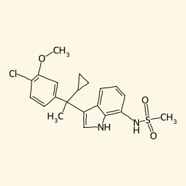 COc1cc(C(C)(c2c[nH]c3c(NS(C)(=O)=O)cccc23)C2CC2)ccc1Cl